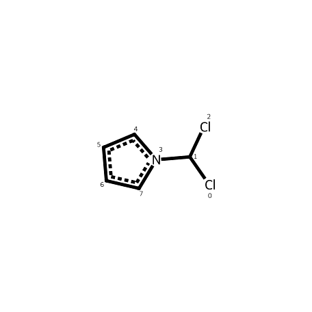 ClC(Cl)n1cccc1